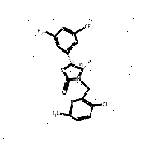 C[C@H]1[C@@H](c2cc(C(F)(F)F)cc(C(F)(F)F)c2)SC(=O)N1Cc1nc(C(F)(F)F)ccc1Cl